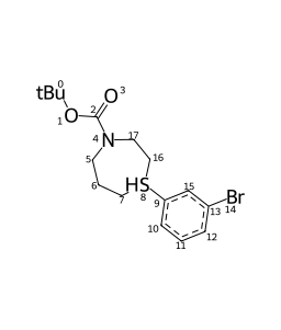 CC(C)(C)OC(=O)N1CCC[SH](c2cccc(Br)c2)CC1